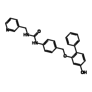 O=C(NCc1cccnc1)Nc1ccc(COc2cc(O)ccc2-c2ccccc2)cc1